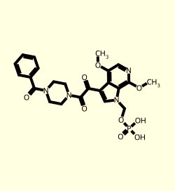 COc1cnc(OC)c2c1c(C(=O)C(=O)N1CCN(C(=O)c3ccccc3)CC1)cn2COP(=O)(O)O